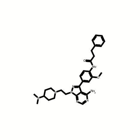 COc1cc(-c2nn(CCN3CCC(N(C)C)CC3)c3ncnc(N)c23)ccc1NC(=O)CCc1ccccc1